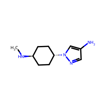 CN[C@H]1CC[C@H](n2cc(N)cn2)CC1